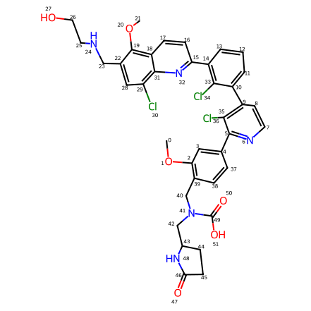 COc1cc(-c2nccc(-c3cccc(-c4ccc5c(OC)c(CNCCO)cc(Cl)c5n4)c3Cl)c2Cl)ccc1CN(CC1CCC(=O)N1)C(=O)O